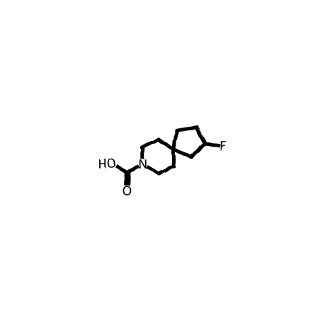 O=C(O)N1CCC2(CCC(F)C2)CC1